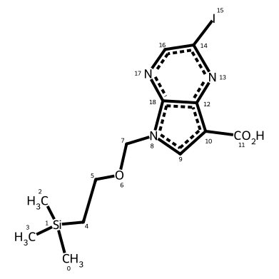 C[Si](C)(C)CCOCn1cc(C(=O)O)c2nc(I)cnc21